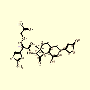 Nc1nc(/C(=N/OCC(=O)O)C(=O)N[C@@H]2C(=O)N3C(C(=O)O)=C(CSC4=CC(=O)OC4)CS[C@@H]23)cs1